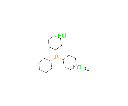 C1CCC(P(C2CCCCC2)C2CCCCC2)CC1.Cl.Cl.[Ru]